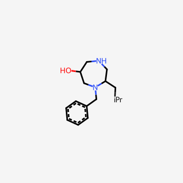 CC(C)CC1CNCC(O)CN1Cc1ccccc1